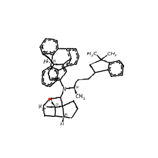 C[C@H](CCC1CC(C)(C)c2ccccc21)N(C1=CC[C@@H]2C(=C1)c1c3cccc1-c1cccc2c1-c1ccccc1-3)C1CCCC2[C@H]3CCCC13[C@H]2C